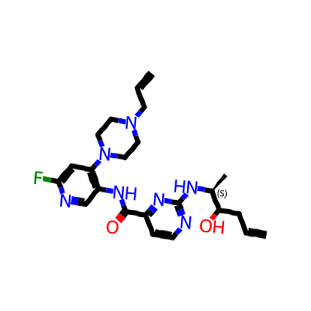 C=CCC(O)[C@H](C)Nc1nccc(C(=O)Nc2cnc(F)cc2N2CCN(CC=C)CC2)n1